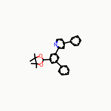 CC1(C)OC(c2cc(-c3ccccc3)cc(-c3cc(-c4ccccc4)ccn3)c2)OC1(C)C